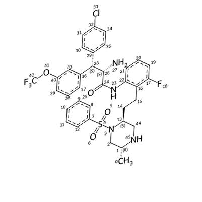 C[C@@H]1CN(S(=O)(=O)c2ccccc2)[C@@H](CCc2c(F)cccc2NC(=O)[C@@H](N)[C@@H](c2ccc(Cl)cc2)c2cccc(OC(F)(F)F)c2)CN1